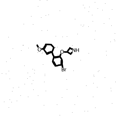 COC1=CC[CH]C(c2ccc(Br)cc2OC2CNC2)=C1